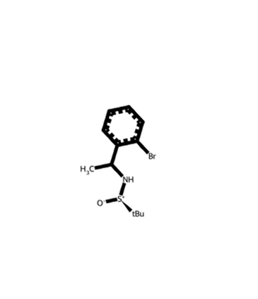 CC(N[S@+]([O-])C(C)(C)C)c1ccccc1Br